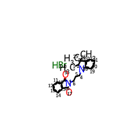 Br.CC1N(CCCN2C(=O)c3ccccc3C2=O)c2ccccc2C1(C)C